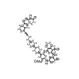 CCc1cc(Nc2ncc(Br)c(Nc3ccc4c(c3P(C)(C)=O)OCCO4)n2)c(OC)cc1N1CCC(N2CCN(CCC#Cc3cccc4c3CN(C3CCC(=O)NC3=O)C4=O)CC2)CC1